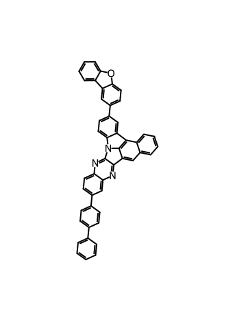 c1ccc(-c2ccc(-c3ccc4nc5c(nc4c3)c3cc4ccccc4c4c6cc(-c7ccc8oc9ccccc9c8c7)ccc6n5c34)cc2)cc1